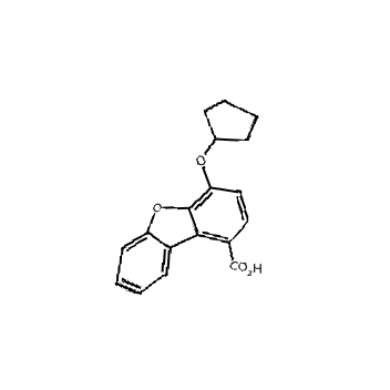 O=C(O)c1ccc(OC2CCCC2)c2oc3ccccc3c12